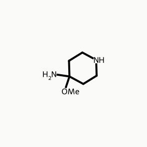 COC1(N)CCNCC1